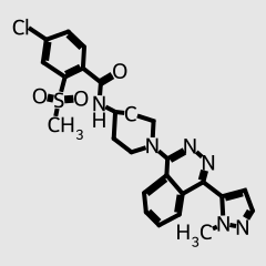 Cn1nccc1-c1nnc(N2CCC(NC(=O)c3ccc(Cl)cc3S(C)(=O)=O)CC2)c2ccccc12